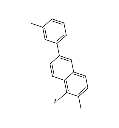 Cc1cccc(-c2ccc3c(Br)c(C)ccc3c2)c1